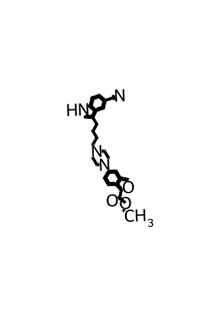 CCOC(=O)c1occ2cc(N3CCN(CCCCc4c[nH]c5ccc(C#N)cc45)CC3)ccc12